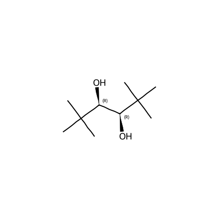 CC(C)(C)[C@@H](O)[C@H](O)C(C)(C)C